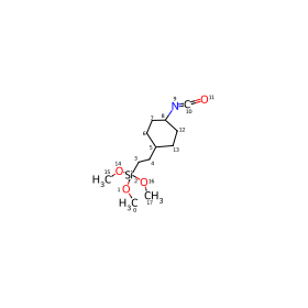 CO[Si](CCC1CCC(N=C=O)CC1)(OC)OC